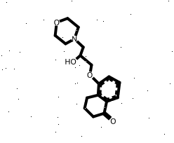 O=C1CCCc2c(OCC(O)CN3CCOCC3)cccc21